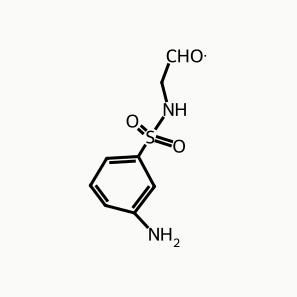 Nc1cccc(S(=O)(=O)NC[C]=O)c1